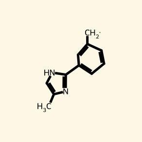 [CH2]c1cccc(-c2nc(C)c[nH]2)c1